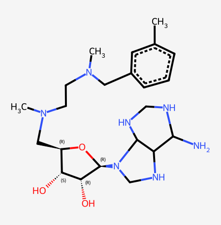 Cc1cccc(CN(C)CCN(C)C[C@H]2O[C@@H](N3CNC4C(N)NCNC43)[C@H](O)[C@@H]2O)c1